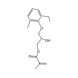 C=C(C)C(=O)OCC(O)COc1c(C)cccc1CC